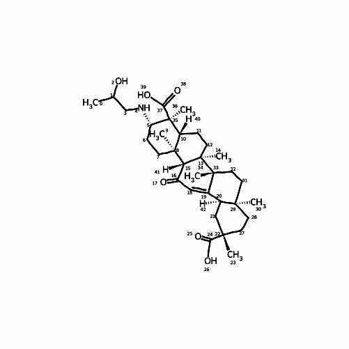 CC(O)CN[C@H]1CC[C@@]2(C)[C@@H](CC[C@]3(C)[C@@H]2C(=O)C=C2[C@@H]4C[C@@](C)(C(=O)O)CC[C@]4(C)CC[C@]23C)[C@]1(C)C(=O)O